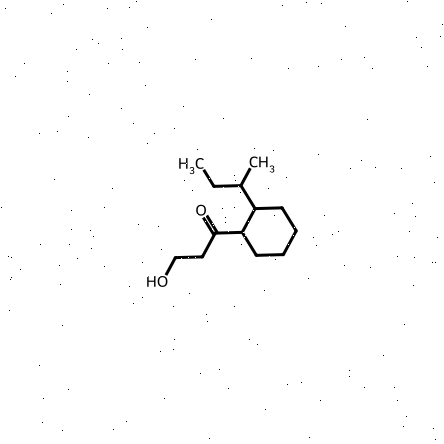 CCC(C)C1CCCCC1C(=O)CCO